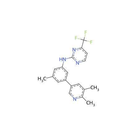 Cc1cc(Nc2nccc(C(F)(F)F)n2)cc(-c2cnc(C)c(C)c2)c1